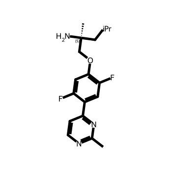 Cc1nccc(-c2cc(F)c(OC[C@@](C)(N)CC(C)C)cc2F)n1